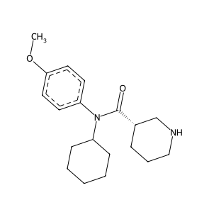 COc1ccc(N(C(=O)[C@H]2CCCNC2)C2CCCCC2)cc1